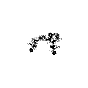 O=P(O)(O)[C@@](CO)(COCc1cccc(C2CC2COC[C@@](CO)(OC[C@H]2O[C@@H](n3ncc4c(NC5CCCC5)nc(Cl)nc43)[C@H](O)[C@@H]2O)P(=O)(O)O)c1)OC[C@H]1O[C@@H](n2ncc3c(NC4CCCC4)nc(Cl)nc32)[C@H](O)[C@@H]1O